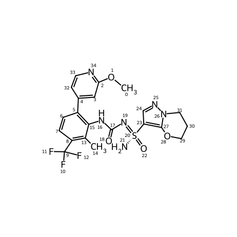 COc1cc(-c2ccc(C(F)(F)F)c(C)c2NC(=O)N=[S@](N)(=O)c2cnn3c2OCCC3)ccn1